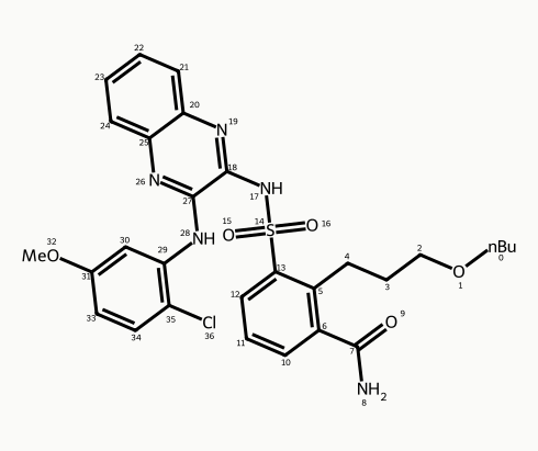 CCCCOCCCc1c(C(N)=O)cccc1S(=O)(=O)Nc1nc2ccccc2nc1Nc1cc(OC)ccc1Cl